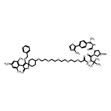 Cc1cc(C)c(C2=C(OCc3ccccc3)C3(CCC(OCCOCCOCCOCCOCC(=O)N[C@H](C(=O)N4C[C@H](O)C[C@H]4C(=O)N[C@@H](C)c4ccc(-c5scnc5C)cc4)C(C)(C)C)CC3)OC2=O)c(C)c1